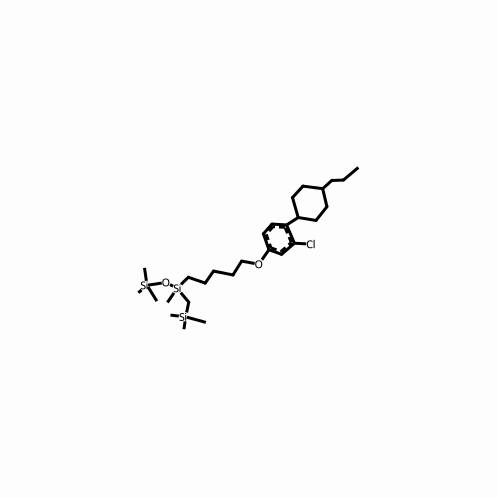 CCCC1CCC(c2ccc(OCCCCC[Si](C)(C[Si](C)(C)C)O[Si](C)(C)C)cc2Cl)CC1